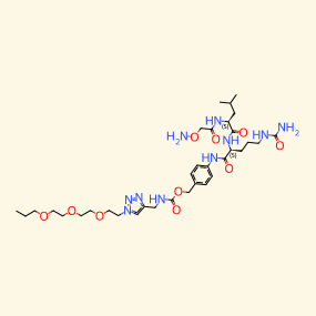 CCCOCCOCCOCCn1cc(CNC(=O)OCc2ccc(NC(=O)[C@H](CCCNC(N)=O)NC(=O)[C@H](CC(C)C)NC(=O)CON)cc2)nn1